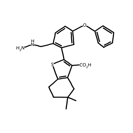 CC1(C)CCc2sc(-c3cc(Oc4ccccc4)ccc3CNN)c(C(=O)O)c2C1